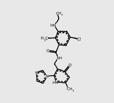 CCNc1cc(Cl)cc(C(=O)NCc2c(-n3ccnc3)[nH]c(C)cc2=O)c1C